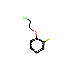 Sc1ccccc1OCCCl